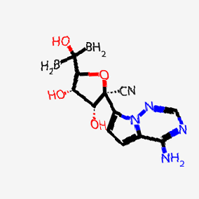 BC(B)(O)C1O[C@@](C#N)(c2ccc3c(N)ncnn23)[C@H](O)[C@@H]1O